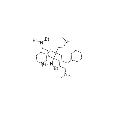 CCN(CC)CCCC(CCCN(C)C)(N(CC)CC)C([CH]C1CCCN(C)C1)(CCCN1CCCCC1)CCN(C)C